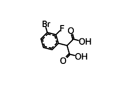 O=C(O)C(C(=O)O)c1cccc(Br)c1F